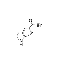 CC(C)C(=O)c1ccc2[nH]ccc2c1